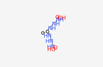 O=C(O)NCCCNCCCNCc1cc(CNCCCNCCCNC(=O)O)cc(-c2ccccc2)c1